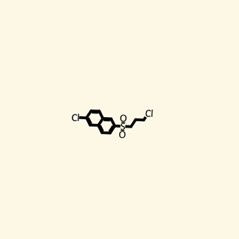 O=S(=O)(CCCCl)c1ccc2cc(Cl)ccc2c1